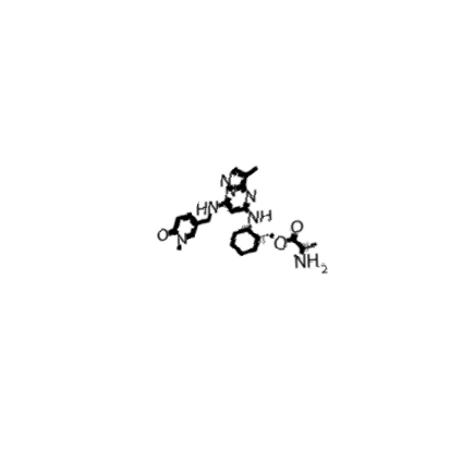 Cc1cnn2c(NCc3ccc(=O)n(C)c3)cc(N[C@H]3CCCC[C@H]3COC(=O)[C@@H](C)N)nc12